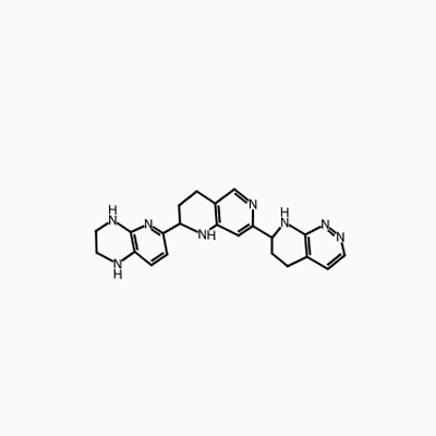 c1cc2c(nn1)NC(c1cc3c(cn1)CCC(c1ccc4c(n1)NCCN4)N3)CC2